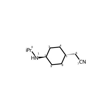 CC(C)N[C@H]1CC[C@H](CC#N)CC1